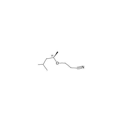 CC(C)C[C@@H](C)OCCC#N